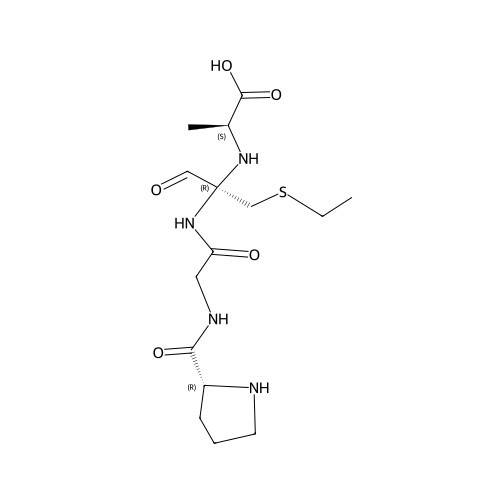 CCSC[C@@](C=O)(NC(=O)CNC(=O)[C@H]1CCCN1)N[C@@H](C)C(=O)O